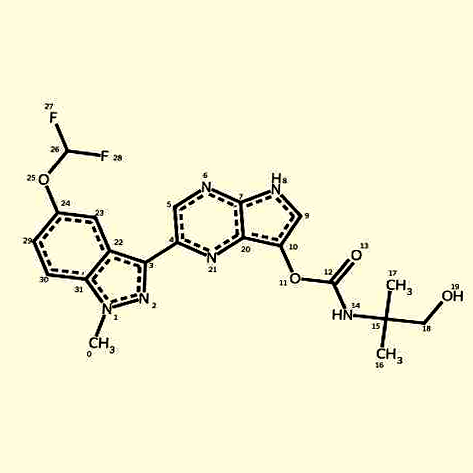 Cn1nc(-c2cnc3[nH]cc(OC(=O)NC(C)(C)CO)c3n2)c2cc(OC(F)F)ccc21